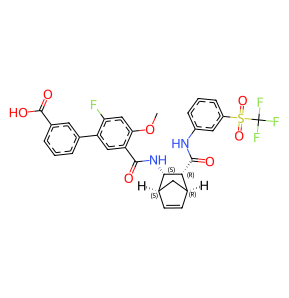 COc1cc(F)c(-c2cccc(C(=O)O)c2)cc1C(=O)N[C@@H]1[C@H](C(=O)Nc2cccc(S(=O)(=O)C(F)(F)F)c2)[C@H]2C=C[C@@H]1C2